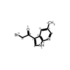 Cc1cnc2[nH]cc(C(=O)CBr)c2c1